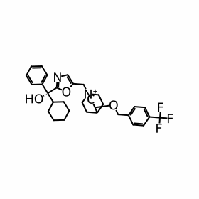 O[C@](c1ccccc1)(c1ncc(C[N+]23CCC(CC2)C(OCc2ccc(C(F)(F)F)cc2)C3)o1)C1CCCCC1